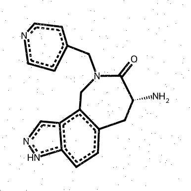 N[C@@H]1Cc2ccc3[nH]ncc3c2CN(Cc2ccncc2)C1=O